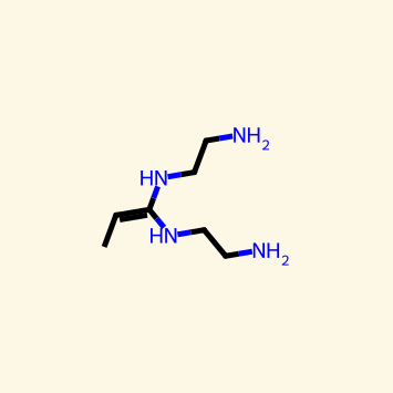 CC=C(NCCN)NCCN